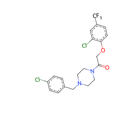 O=C(COc1ccc(C(F)(F)F)cc1Cl)N1CCN(Cc2ccc(Cl)cc2)CC1